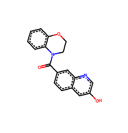 O=C(c1ccc2cc(O)cnc2c1)N1CCOc2ccccc21